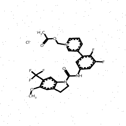 COc1cc2c(cc1C(F)(F)F)N(C(=O)Nc1cc(F)c(F)c(-c3ccc[n+](COC(C)=O)c3)c1)CC2.[Cl-]